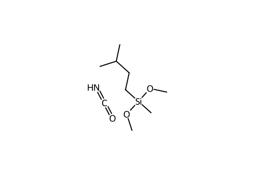 CO[Si](C)(CCC(C)C)OC.N=C=O